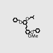 COc1ccc(/C=C/c2cc(OCC=C(C)C)cc(OCc3ccccc3)c2)cc1OCc1ccccc1